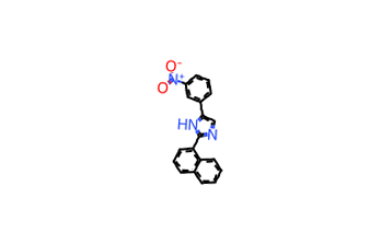 O=[N+]([O-])c1cccc(-c2cnc(-c3cccc4ccccc34)[nH]2)c1